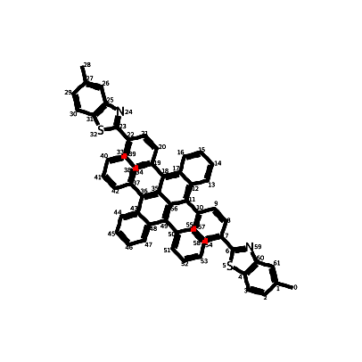 Cc1ccc2sc(-c3ccc(-c4c5ccccc5c(-c5ccc(-c6nc7cc(C)ccc7s6)cc5)c5c(-c6ccccc6)c6ccccc6c(-c6ccccc6)c45)cc3)nc2c1